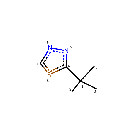 CC(C)(C)c1nncs1